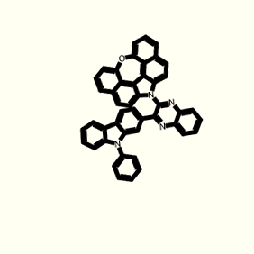 c1ccc(-n2c3ccccc3c3ccc(-c4nc5ccccc5nc4-n4c5ccc6cccc7oc8cccc9ccc4c(c98)c5c67)cc32)cc1